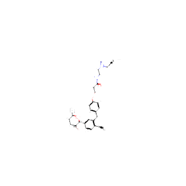 C#CCN(C)CCNC(=O)CCOc1ccc(Cc2cc([C@@H]3O[C@H](CC)CC[C@H]3O)ccc2C#C)cc1